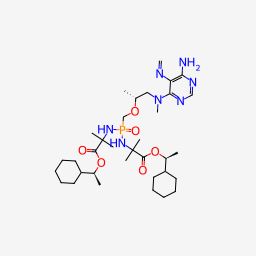 C=Nc1c(N)ncnc1N(C)C[C@@H](C)OCP(=O)(NC(C)(C)C(=O)O[C@@H](C)C1CCCCC1)NC(C)(C)C(=O)O[C@@H](C)C1CCCCC1